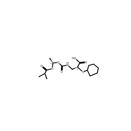 CC(C)C(=O)O[C@@H](C)OC(=O)NC[C@H](SC1CCCCC1)C(=O)O